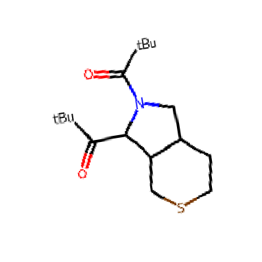 CC(C)(C)C(=O)C1C2CSCCC2CN1C(=O)C(C)(C)C